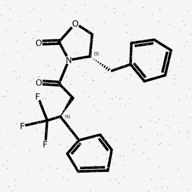 O=C(C[C@@H](c1ccccc1)C(F)(F)F)N1C(=O)OC[C@@H]1Cc1ccccc1